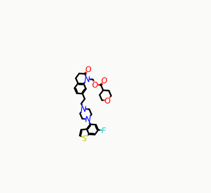 O=C(OCN1C(=O)CCc2ccc(CCN3CCN(c4cc(F)cc5sccc45)CC3)cc21)C1CCOCC1